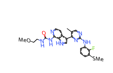 COCCNC(=O)Nc1nccc2c(-c3nc(Nc4cccc(SC)c4F)ncc3C)c[nH]c12